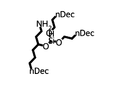 CCCCCCCCCCCCCC(CCN)O[SiH](OCCCCCCCCCCCC)OCCCCCCCCCCCC